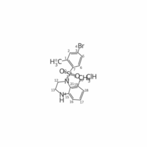 Cc1cc(Br)ccc1S(=O)(=O)N1CCNc2cccc(C)c21.Cl